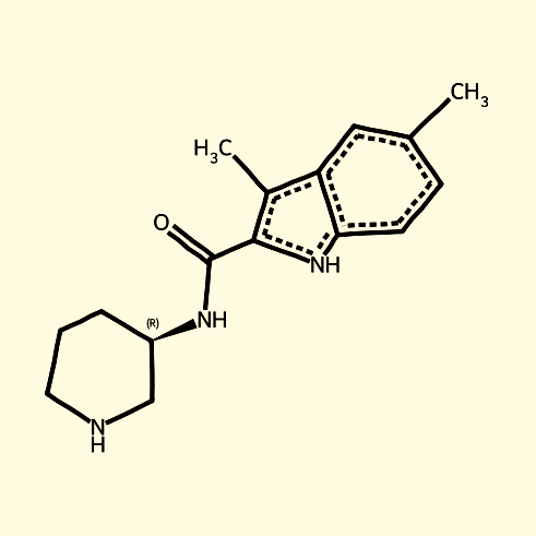 Cc1ccc2[nH]c(C(=O)N[C@@H]3CCCNC3)c(C)c2c1